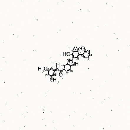 COc1ncccc1-c1ccc(O)c(-c2nc3cc(C(=O)Nc4cc(C)cc(C)n4)ccc3[nH]2)c1